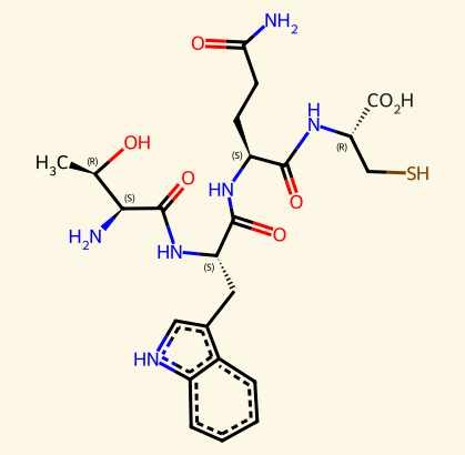 C[C@@H](O)[C@H](N)C(=O)N[C@@H](Cc1c[nH]c2ccccc12)C(=O)N[C@@H](CCC(N)=O)C(=O)N[C@@H](CS)C(=O)O